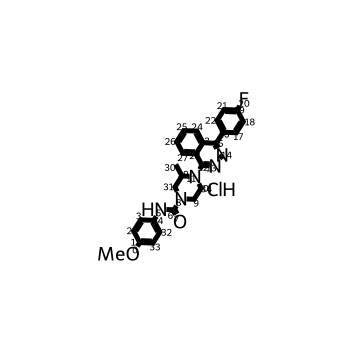 COc1ccc(NC(=O)N2CCN(c3nnc(-c4ccc(F)cc4)c4ccccc34)C(C)C2)cc1.Cl